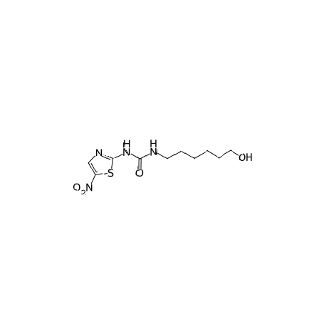 O=C(NCCCCCCO)Nc1ncc([N+](=O)[O-])s1